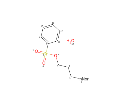 CCCCCCCCCCCCOS(=O)(=O)c1ccccc1.O